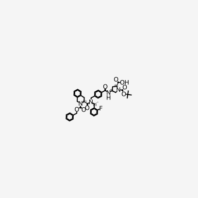 C[C@H](c1ccccc1F)N(Cc1ccc(C(=O)N[C@H]2C[C@@H](C(=O)O)N(C(=O)OC(C)(C)C)C2)cc1)C(=O)[C@@H]1Cc2ccccc2CN1C(=O)OCc1ccccc1